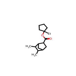 CCC1(OC(=O)C2CC3CC2C(C)C3C)CCCC1